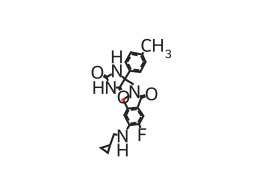 Cc1ccc(C2(CN3Cc4cc(NCC5CC5)c(F)cc4C3=O)NC(=O)NC2=O)cc1